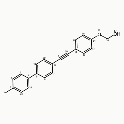 Cc1ccc(-c2ccc(C#Cc3ccc(OCO)cc3)cc2)cc1